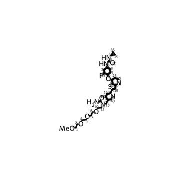 COCCOCCOCCOCCN(Cc1ccc(-c2cc3nccc(Oc4ccc(NC(=O)NC5CC5)cc4F)c3s2)nc1)C(N)=O